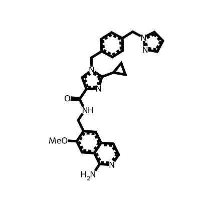 COc1cc2c(N)nccc2cc1CNC(=O)c1cn(Cc2ccc(Cn3cccn3)cc2)c(C2CC2)n1